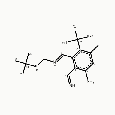 Cc1cc(N)c(C=N)c(/C=N/CSC(C)(C)C)c1C(F)(F)F